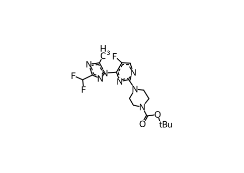 Cc1nc(C(F)F)nn1-c1nc(N2CCN(C(=O)OC(C)(C)C)CC2)ncc1F